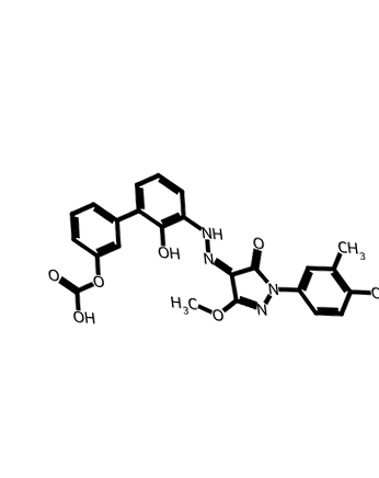 COC1=NN(c2ccc(C)c(C)c2)C(=O)C1=NNc1cccc(-c2cccc(OC(=O)O)c2)c1O